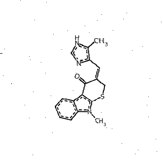 Cc1[nH]cnc1/C=C1/CSc2c(c3ccccc3n2C)C1=O